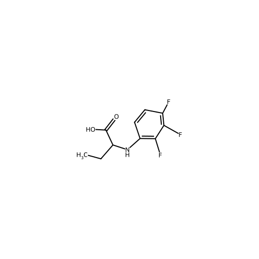 CCC(Nc1ccc(F)c(F)c1F)C(=O)O